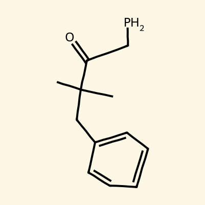 CC(C)(Cc1ccccc1)C(=O)CP